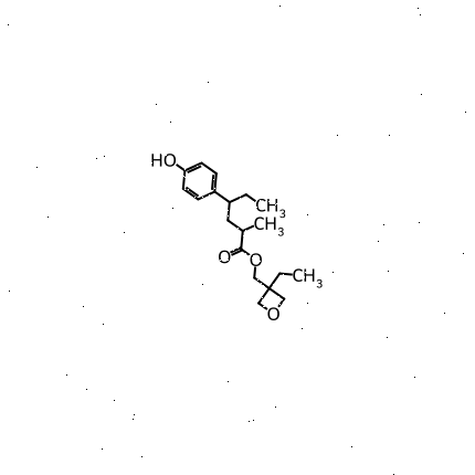 CCC(CC(C)C(=O)OCC1(CC)COC1)c1ccc(O)cc1